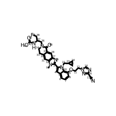 Cn1c(-c2cc3cccc(OCCn4cnc(C#N)n4)c3n2CC2CC2)nc2cc3c(cc21)CCN(CC(CF)NC(=O)O)C3=O